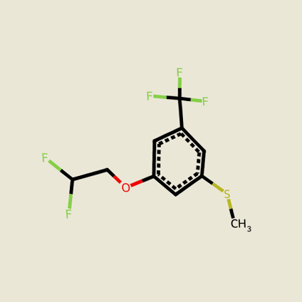 CSc1cc(OCC(F)F)cc(C(F)(F)F)c1